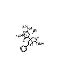 CO[C@H](C)C(=O)C(/C=C/c1ccccc1)(CC(C)C)[C@@H](C(=O)NO)[C@@H](CC(C)C)C(=O)NN